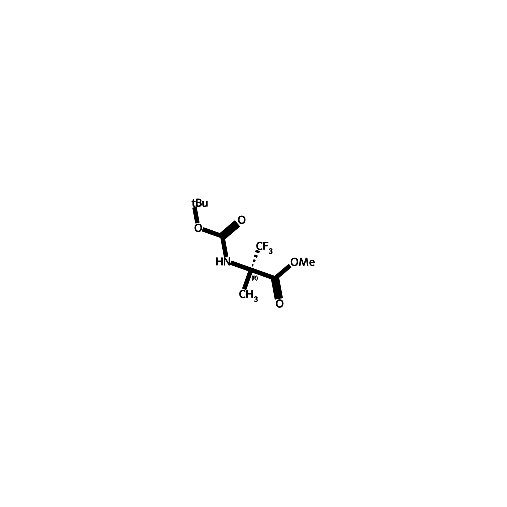 COC(=O)[C@@](C)(NC(=O)OC(C)(C)C)C(F)(F)F